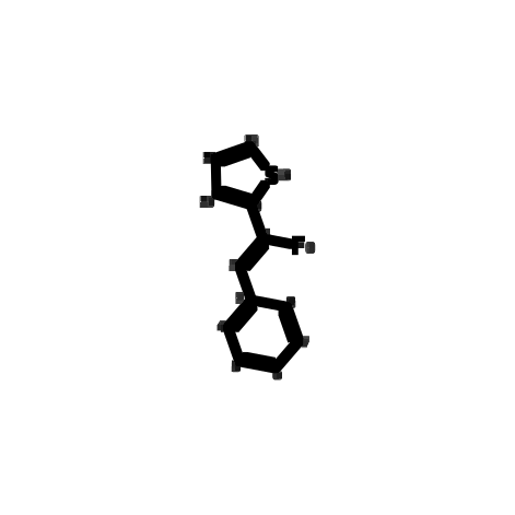 FC(=Cc1ccccc1)c1cccs1